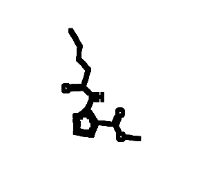 CCCCC(=O)Nc1sccc1C(=O)OC